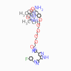 CN[C@H](C)C(=O)N[C@@H](C(=O)N1Cc2cc(OCCOCCOCCOCCOCCC(=O)n3cc(-c4cnc5[nH]cc(-c6cnn(Cc7cccc(F)c7)c6)c5c4)cn3)ccc2C[C@@H]1C(N)=O)C(C)(C)C